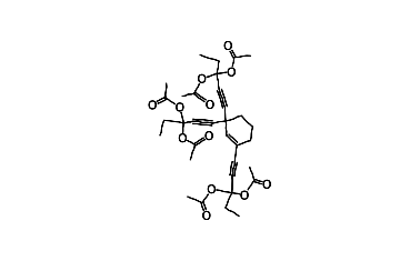 CCC(C#CC1=CC(C#CC(CC)(OC(C)=O)OC(C)=O)(C#CC(CC)(OC(C)=O)OC(C)=O)CCC1)(OC(C)=O)OC(C)=O